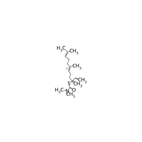 C=C[C@](C)(CC/C=C(\C)CCC=C(C)C)SC(=O)N(C)C